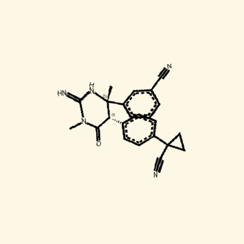 CN1C(=N)N[C@](C)(c2cccc(C#N)c2)[C@H](c2ccc(C3(C#N)CC3)cc2)C1=O